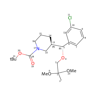 COC(C)(CO[C@@H](c1cccc(Cl)c1)[C@@H]1CCCN(C(=O)OC(C)(C)C)C1)OC